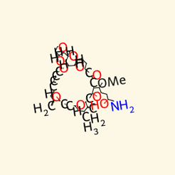 C=C1C[C@@H]2CCCCO[C@@H]3C4O[C@@H]5CCO[C@@H]5[C@@H]4O[C@H]4CCC(CC(=O)CC5C(CC6O[C@@H](CCC1O2)C[C@@H](C)C6=C)OC(C[C@H](O)CN)[C@@H]5OC)O[C@@H]43